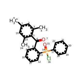 Cc1cc(C)c(C(=O)c2ccccc2P(=O)(Cl)c2ccccc2)c(C)c1